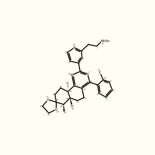 CC(=O)NCCc1cc(-c2nc(-c3ccccc3F)c3c(n2)[C@]2(C)CCC4(OCCO4)[C@H](C)[C@H]2CC3)ccn1